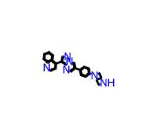 c1ccc2c(-c3cnn4cc(-c5ccc(N6CC7NCC76)cc5)cnc34)ccnc2c1